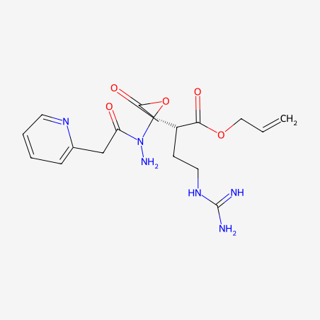 C=CCOC(=O)C(CCNC(=N)N)[C@@]1(N(N)C(=O)Cc2ccccn2)OC1=O